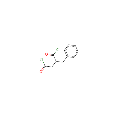 O=C(Cl)CC(Cc1ccccc1)C(=O)Cl